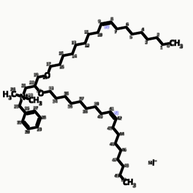 CCCCCCCC/C=C\CCCCCCCCOCC(C[N+](C)(C)Cc1ccccc1)OCCCCCCCC/C=C\CCCCCCCC.[I-]